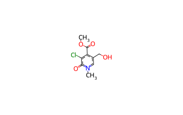 COC(=O)c1c(CO)cn(C)c(=O)c1Cl